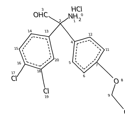 Cl.NC(C=O)(c1ccc(OCC(F)(F)F)cc1)c1ccc(Cl)c(Cl)c1